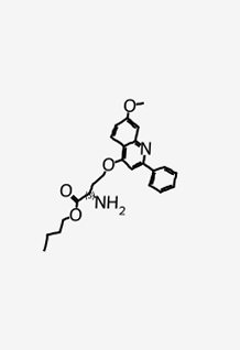 CCCCOC(=O)[C@@H](N)CCOc1cc(-c2ccccc2)nc2cc(OC)ccc12